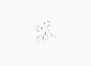 Cc1cc(-c2c(-c3ccccc3)nc(N)[n+]3c(=O)n(C[C@@H]4CCCN4C)[nH]c23)cc(C)n1